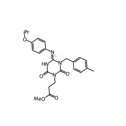 COC(=O)CCn1c(=O)[nH]/c(=N\c2ccc(OC(C)C)cc2)n(Cc2ccc(C)cc2)c1=O